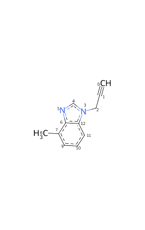 C#CCn1cnc2c(C)cccc21